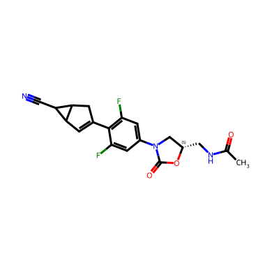 CC(=O)NC[C@H]1CN(c2cc(F)c(C3=CC4C(C#N)C4C3)c(F)c2)C(=O)O1